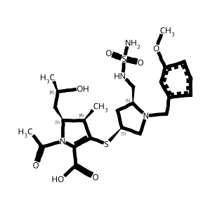 COc1cccc(CN2C[C@@H](SC3=C(C(=O)O)N(C(C)=O)[C@@H](C[C@@H](C)O)[C@H]3C)C[C@H]2CNS(N)(=O)=O)c1